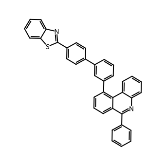 c1ccc(-c2nc3ccccc3c3c(-c4cccc(-c5ccc(-c6nc7ccccc7s6)cc5)c4)cccc23)cc1